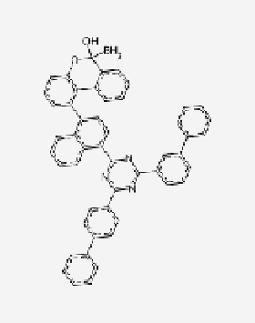 BC1(O)Oc2cccc(-c3ccc(-c4nc(-c5ccc(-c6ccccc6)cc5)nc(-c5cccc(-c6ccccc6)c5)n4)c4ccccc34)c2-c2ccccc21